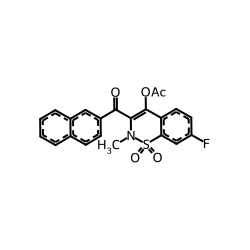 CC(=O)OC1=C(C(=O)c2ccc3ccccc3c2)N(C)S(=O)(=O)c2cc(F)ccc21